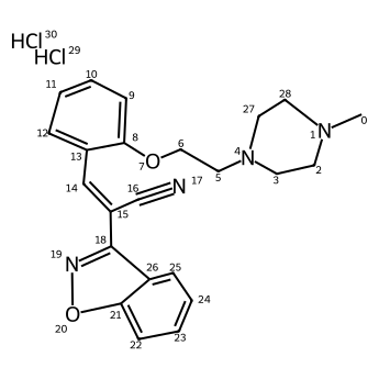 CN1CCN(CCOc2ccccc2C=C(C#N)c2noc3ccccc23)CC1.Cl.Cl